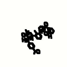 CC(=O)c1ccc(Nc2nc(-c3cccc(N4CCN(C(=O)[C@H]5CCCN5)C4=O)c3C)cn(C)c2=O)cc1